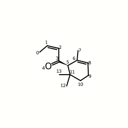 C/C=C\C(=O)[C@H]1C(C)=CCCC1(C)C